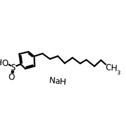 CCCCCCCCCCc1ccc(S(=O)O)cc1.[NaH]